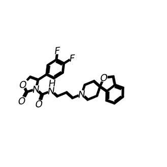 O=C(NCCCN1CCC2(CC1)OCc1ccccc12)N1C(=O)OCC1c1ccc(F)c(F)c1